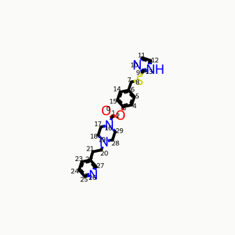 O=C(Oc1ccc(CSc2ncc[nH]2)cc1)N1CCN(CCc2cccnc2)CC1